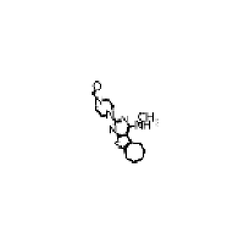 CNc1nc(N2CCN(C=O)CC2)nc2sc3c(c12)CCCCC3